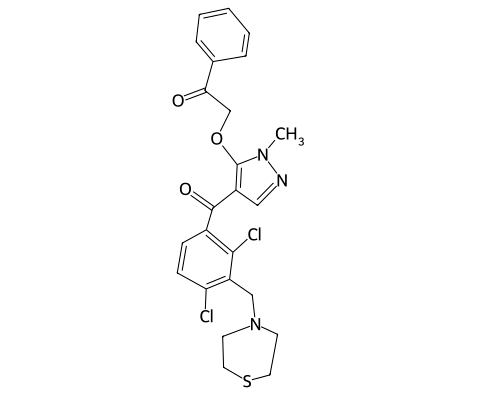 Cn1ncc(C(=O)c2ccc(Cl)c(CN3CCSCC3)c2Cl)c1OCC(=O)c1ccccc1